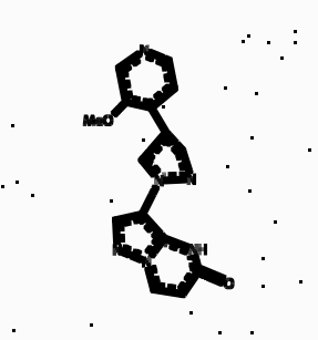 COc1cnccc1-c1cnn(-c2cnn3ccc(=O)[nH]c23)c1